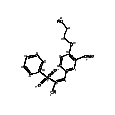 COc1cc(/C=C(/C#N)S(=O)(=O)c2ccccc2)ccc1OCCO